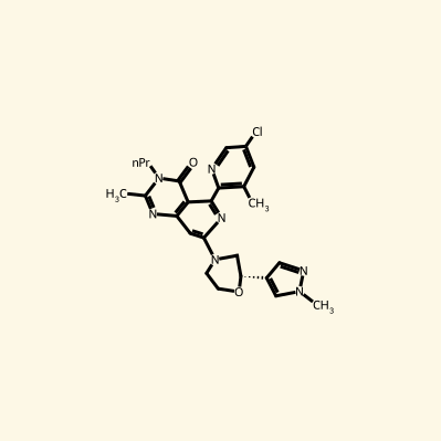 CCCn1c(C)nc2cc(N3CCO[C@@H](c4cnn(C)c4)C3)nc(-c3ncc(Cl)cc3C)c2c1=O